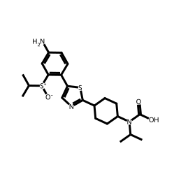 CC(C)N(C(=O)O)C1CCC(c2ncc(-c3ccc(N)cc3[S+]([O-])C(C)C)s2)CC1